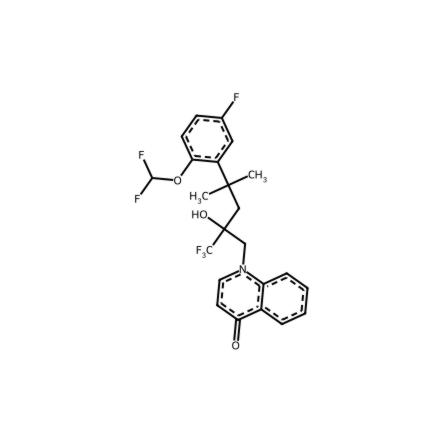 CC(C)(CC(O)(Cn1ccc(=O)c2ccccc21)C(F)(F)F)c1cc(F)ccc1OC(F)F